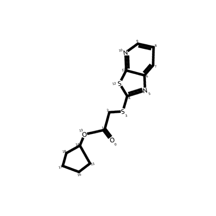 O=C(CSc1nc2cccnc2s1)OC1CCCC1